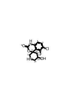 O=C1Nc2ccc(Cl)c(F)c2C2(CNCC(O)C2)O1